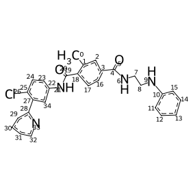 Cc1cc(C(=O)NCCNc2ccccc2)ccc1C(=O)Nc1ccc(Cl)c(-c2ccccn2)c1